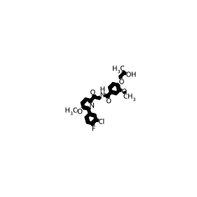 COc1cc(C(=O)NCC(=O)c2ccc(OC)c(-c3ccc(F)c(Cl)c3)n2)ccc1OCC(C)O